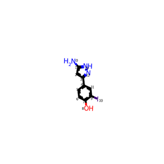 Nc1cc(-c2ccc(O)c(I)c2)n[nH]1